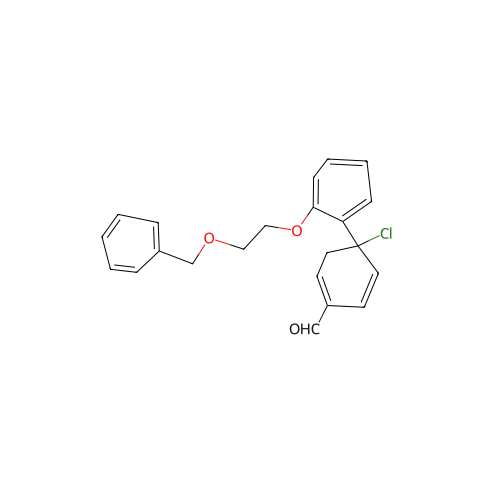 O=CC1=CCC(Cl)(c2ccccc2OCCOCc2ccccc2)C=C1